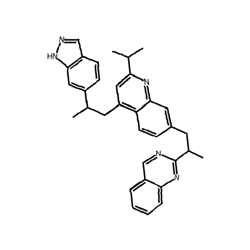 CC(C)c1cc(CC(C)c2ccc3cn[nH]c3c2)c2ccc(CC(C)c3ncc4ccccc4n3)cc2n1